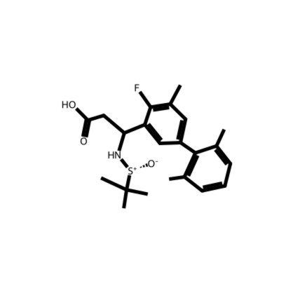 Cc1cc(-c2c(C)cccc2C)cc(C(CC(=O)O)N[S@+]([O-])C(C)(C)C)c1F